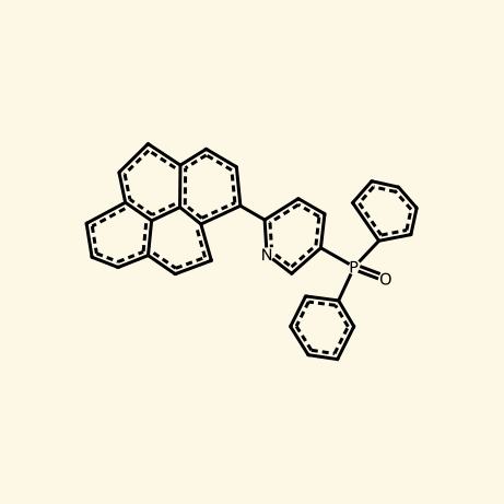 O=P(c1ccccc1)(c1ccccc1)c1ccc(-c2ccc3ccc4cccc5ccc2c3c45)nc1